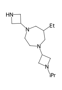 CCC1CN(C2CNC2)CCN(C2CN(C(C)C)C2)C1